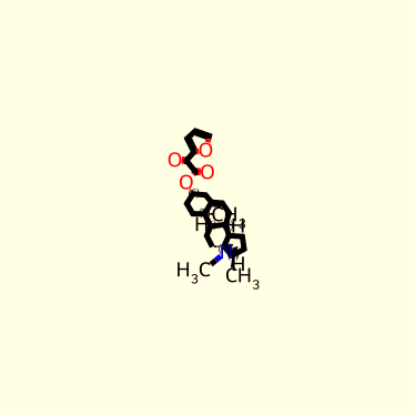 C[C@H]1[C@H]2CCC3[C@@H]4CC=C5C[C@@H](OC(=O)C(=O)c6ccco6)CC[C@]5(C)[C@H]4CC[C@@]32CN1C